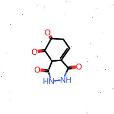 O=C1CC=C2C(=O)NNC(=O)C2C1=O